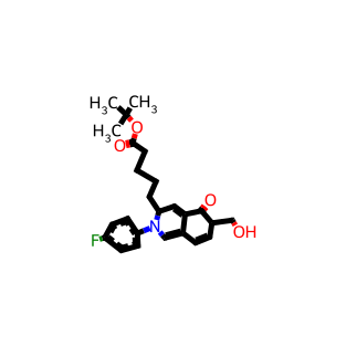 CC(C)(C)OC(=O)CCCCC1C=C2C(=O)C(CO)C=CC2=CN1c1ccc(F)cc1